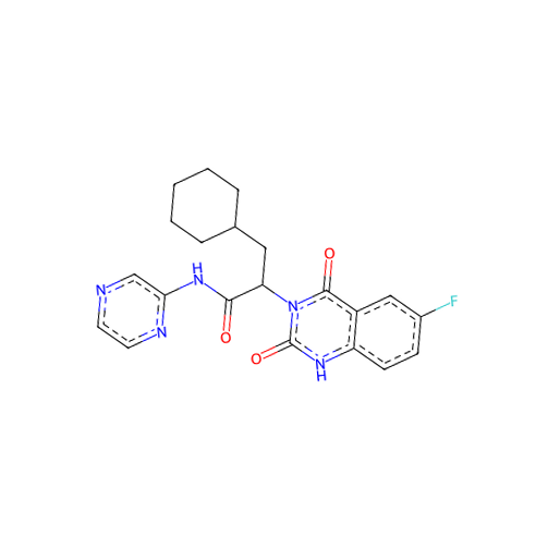 O=C(Nc1cnccn1)C(CC1CCCCC1)n1c(=O)[nH]c2ccc(F)cc2c1=O